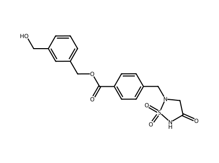 O=C1CN(Cc2ccc(C(=O)OCc3cccc(CO)c3)cc2)S(=O)(=O)N1